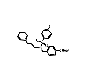 COc1ccc(CN(CCCc2ccccc2)S(=O)(=O)c2ccc(Cl)cc2)cc1